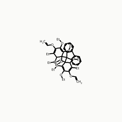 C=COC1=C(CC)C(OCC)C(OCC)(C2(C3(OCC)C(OCC)=C(OCC)C(OC=C)=C(CC)C3OCC)c3ccccc3-c3ccccc32)C(OCC)=C1OCC